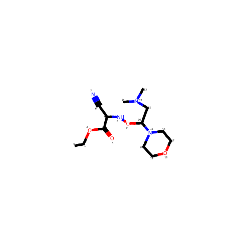 CCOC(=O)C(C#N)NO[C](CN(C)C)N1CCOCC1